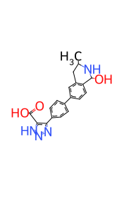 CC1Cc2cc(-c3ccc(-c4nn[nH]c4C(=O)O)cc3)ccc2C(O)N1